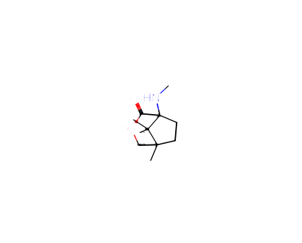 CNC12CCC(C)(COC1=O)C2(C)C